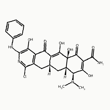 CN(C)[C@@H]1C(O)=C(C(N)=O)C(=O)[C@@]2(O)C(O)=C3C(=O)c4c(O)c(Nc5ccccc5)nc(Cl)c4C[C@H]3C[C@@H]12